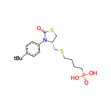 CC(C)(C)c1ccc(N2C(=O)SC[C@@H]2CSCCCCP(=O)(O)O)cc1